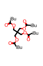 CCC(C)C(=O)OCC(COC(=O)C(C)CC)(COC(=O)C(C)CC)COC(=O)C(C)CC